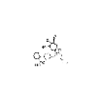 CCCc1nc2cc(C#N)c(=O)c(C#N)cc2n1Cc1ccc(-c2ccccc2C(=O)O)cc1